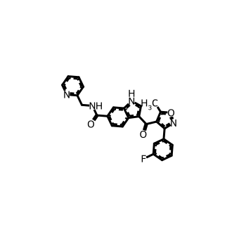 Cc1onc(-c2cccc(F)c2)c1C(=O)c1c[nH]c2cc(C(=O)NCc3ccccn3)ccc12